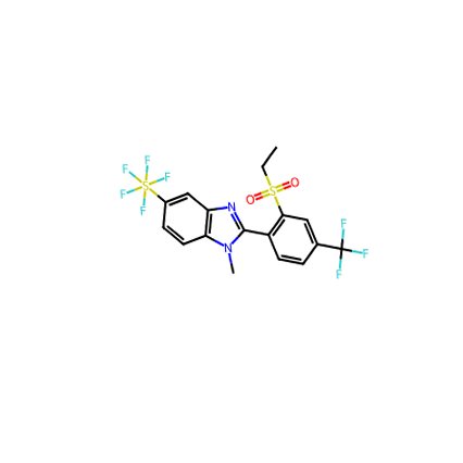 CCS(=O)(=O)c1cc(C(F)(F)F)ccc1-c1nc2cc(S(F)(F)(F)(F)F)ccc2n1C